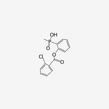 CP(=O)(O)c1ccccc1OC(=O)c1ccccc1Cl